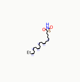 CC/C=C\C/C=C\C/C=C\C/C=C\C/C=C\C/C=C\CCCC1SC(=O)NC1=O